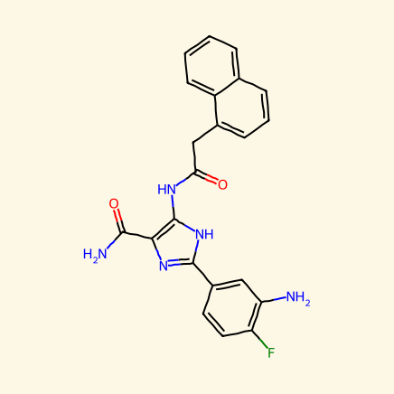 NC(=O)c1nc(-c2ccc(F)c(N)c2)[nH]c1NC(=O)Cc1cccc2ccccc12